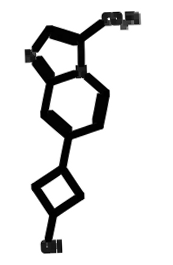 CCOC(=O)c1cnc2cc(C3CC(O)C3)ccn12